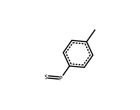 Cc1ccc(P=S)cc1